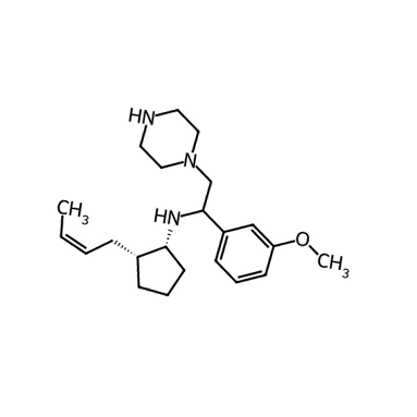 C/C=C\C[C@H]1CCC[C@H]1NC(CN1CCNCC1)c1cccc(OC)c1